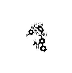 CC(=O)Nc1cc(C(=O)Nc2ccc(O)c(NS(=O)(=O)c3ccc(F)cc3)c2)ccc1-c1ccccc1